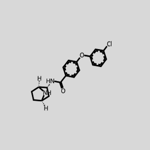 O=C(N[C@@H]1C[C@H]2CC[C@@H]1N2)c1ccc(Oc2cccc(Cl)c2)cc1